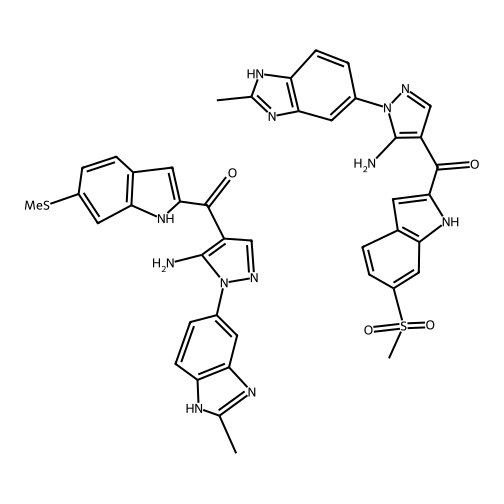 CSc1ccc2cc(C(=O)c3cnn(-c4ccc5[nH]c(C)nc5c4)c3N)[nH]c2c1.Cc1nc2cc(-n3ncc(C(=O)c4cc5ccc(S(C)(=O)=O)cc5[nH]4)c3N)ccc2[nH]1